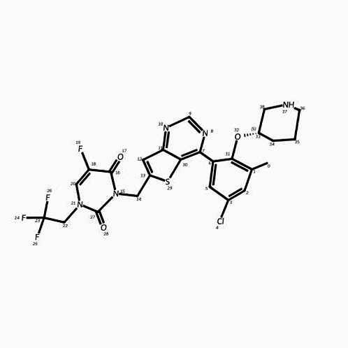 Cc1cc(Cl)cc(-c2ncnc3cc(Cn4c(=O)c(F)cn(CC(F)(F)F)c4=O)sc23)c1O[C@H]1CCCNC1